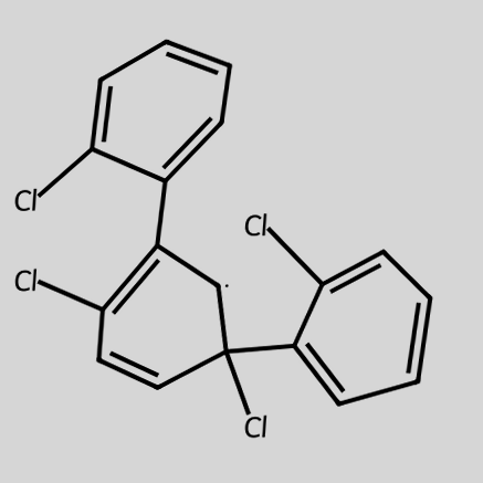 ClC1=C(c2ccccc2Cl)[CH]C(Cl)(c2ccccc2Cl)C=C1